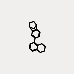 [c]1ccc2c(c1-c1ccc3c(c1)C1CCC3C1)CCCC2